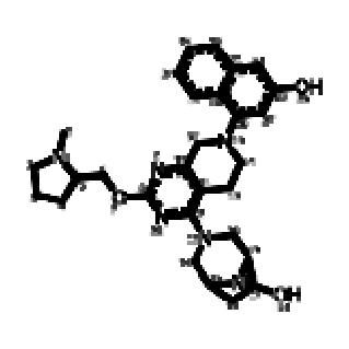 CN1CCCC1COc1nc2c(c(N3CC4CC(O)C(C3)N4)n1)CCN(c1cc(O)cc3ccccc13)C2